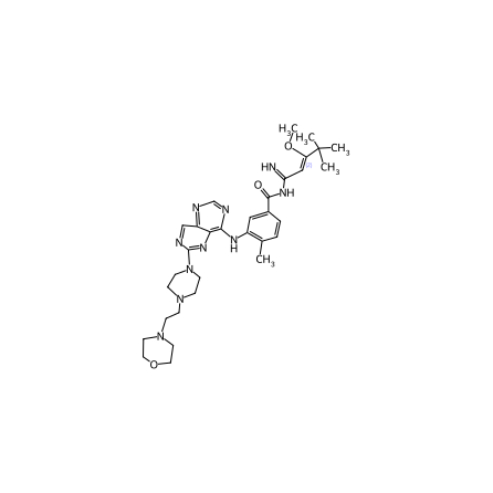 CO/C(=C\C(=N)NC(=O)c1ccc(C)c(Nc2ncnc3cnc(N4CCN(CCN5CCOCC5)CC4)nc23)c1)C(C)(C)C